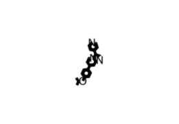 CC(C)Oc1ccc(C2=CC3=NCC(c4ccncc4)N3C=C2)cc1